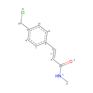 CNC(=O)/C=C/c1ccc(CCl)cc1